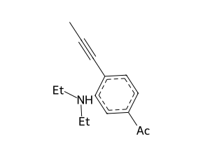 CC#Cc1ccc(C(C)=O)cc1.CCNCC